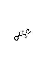 O=C(NCC(O)c1ccccc1)N1CCOCC1